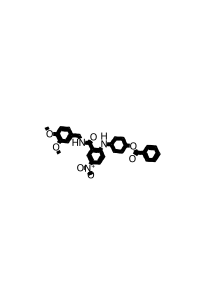 COc1ccc(CNC(=O)c2cc([N+](=O)[O-])ccc2NC2CCC(OC(=O)c3ccccc3)CC2)cc1OC